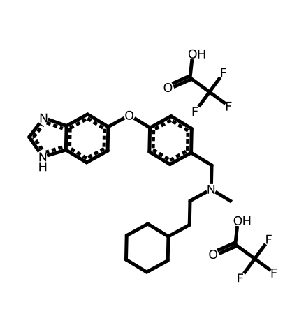 CN(CCC1CCCCC1)Cc1ccc(Oc2ccc3[nH]cnc3c2)cc1.O=C(O)C(F)(F)F.O=C(O)C(F)(F)F